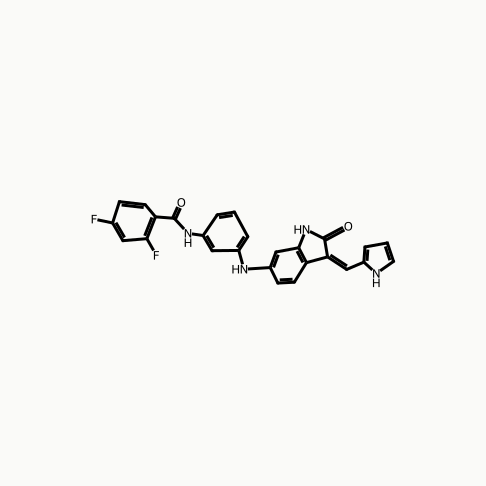 O=C1Nc2cc(Nc3cccc(NC(=O)c4ccc(F)cc4F)c3)ccc2/C1=C/c1ccc[nH]1